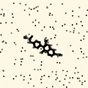 COc1ccn2c(=O)c(-c3ccc(O[C@@H](C)C#N)cc3)c(C(F)(F)F)nc2n1